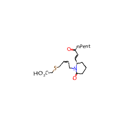 CCCCCC(=O)/C=C/[C@H]1CCCC(=O)N1C/C=C\CSCC(=O)O